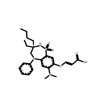 CCCC[C@]1(CC)CN(c2ccccc2)c2cc(N(C)C)c(O/C=C/C(=O)O)cc2S(=O)(=O)N1